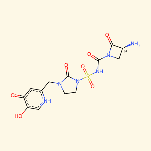 N[C@H]1CN(C(=O)NS(=O)(=O)N2CCN(Cc3cc(=O)c(O)c[nH]3)C2=O)C1=O